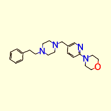 c1ccc(CCN2CCN(Cc3ccc(N4CCOCC4)nc3)CC2)cc1